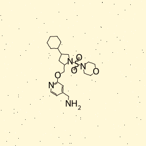 NCc1ccnc(OCC2CC(C3CCCCC3)CN2S(=O)(=O)N2CCOCC2)c1